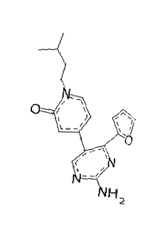 CC(C)CCn1ccc(-c2cnc(N)nc2-c2ccco2)cc1=O